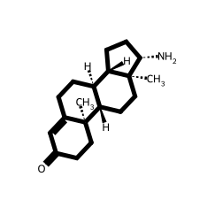 C[C@]12CC[C@H]3[C@@H](CCC4=CC(=O)CC[C@@]43C)[C@@H]1CC[C@@H]2N